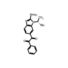 CC(=O)Nc1nc2ccc(C(=O)C(=O)c3ccccc3)cc2n1[C@H](C)C(C)(C)C